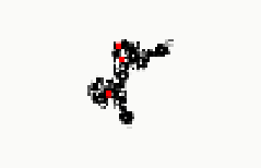 CN[C@@H](C)C(=O)N[C@H](C(=O)N1C[C@@H](NC(=O)c2ccc(C(=O)N[C@H]3C[C@@H](CN(CCc4ccc(F)cc4)C(C)=O)N(C(=O)[C@@H](NC(=O)[C@H](C)NC)C(C)(C)C)C3)cc2)C[C@H]1CN(CCc1ccc(F)cc1)C(C)=O)C(C)(C)C